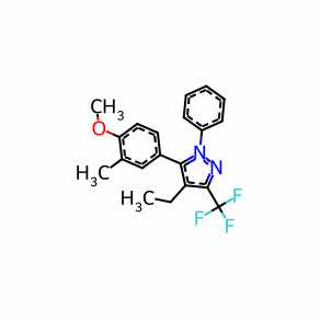 CCc1c(C(F)(F)F)nn(-c2ccccc2)c1-c1ccc(OC)c(C)c1